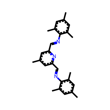 Cc1cc(C=Nc2c(C)cc(C)cc2C)nc(C=Nc2c(C)cc(C)cc2C)c1